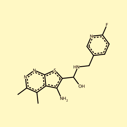 Cc1nnc2sc(C(O)NCc3ccc(F)nc3)c(N)c2c1C